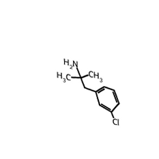 CC(C)(N)Cc1cccc(Cl)c1